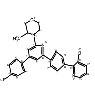 CC1COCCN1c1cc(-c2ccc(F)cc2)cc(-c2ccc(-c3ncccc3Cl)cc2)n1